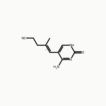 C/C(=C\c1c[nH]c(=O)nc1N)CCC#N